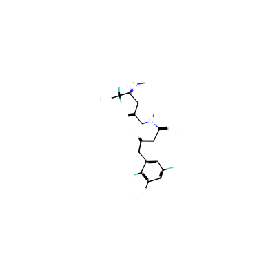 C=C(CC(=C)N(CCC)CC(=C)C/C(=N\C)C(C)(F)F)Cc1cc(F)cc(C)c1F